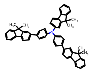 CC1(C)c2ccccc2-c2ccc(-c3ccc(N(c4ccc(-c5ccc6c(c5)C(C)(C)c5ccccc5-6)cc4)c4ccc5c(c4)C(C)(C)c4ccccc4-5)cc3)cc21